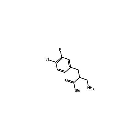 CC(C)(C)C(=O)C(CN)Cc1ccc(Cl)c(F)c1